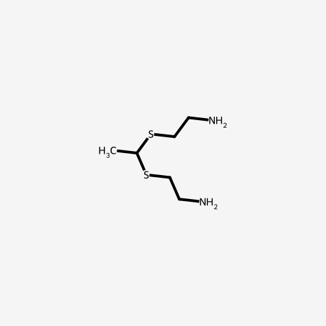 CC(SCCN)SCCN